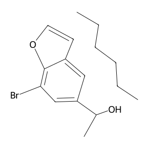 CC(O)c1cc(Br)c2occc2c1.CCCCCC